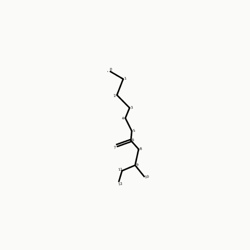 [CH2]CCCCCC(=C)CC(C)CC